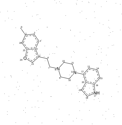 Cc1ccc2c(CCN3CCN(c4cccc5[nH]ccc45)CC3)coc2c1